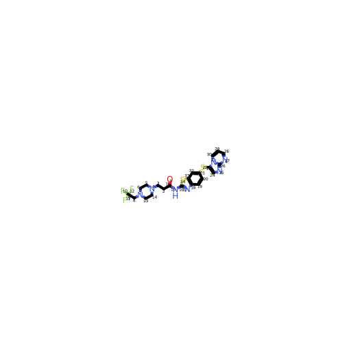 O=C(CCN1CCN(CC(F)(F)F)CC1)Nc1nc2ccc(Sc3cnc4ncccn34)cc2s1